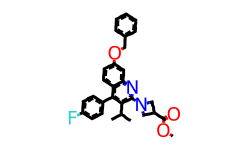 COC(=O)C1CN(c2nc3cc(OCc4ccccc4)ccc3c(-c3ccc(F)cc3)c2C(C)C)C1